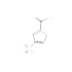 O=C(O)C1=CC(S(=O)(=O)Cl)=CC1